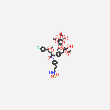 COC(=O)[C@H]1O[C@@H](OCC(CO)(CCc2ccc([C@@H]3C(CC[C@H](OC(C)=O)c4ccc(F)cc4)C(=O)N3c3ccc(CCCNS(C)(=O)=O)cc3)cc2)OC(C)=O)[C@H](OC(C)=O)[C@@H](OC(C)=O)[C@@H]1OC(C)=O